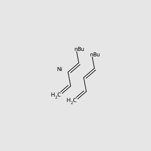 C=CC=CCCCC.C=CC=CCCCC.[Ni]